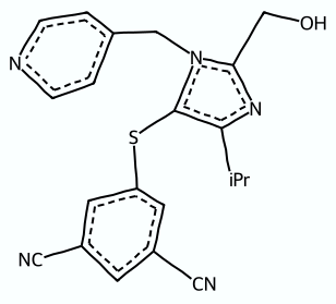 CC(C)c1nc(CO)n(Cc2ccncc2)c1Sc1cc(C#N)cc(C#N)c1